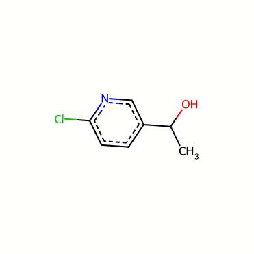 CC(O)c1ccc(Cl)nc1